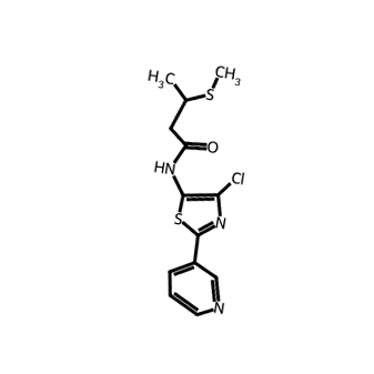 CSC(C)CC(=O)Nc1sc(-c2cccnc2)nc1Cl